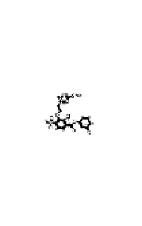 CSc1nnn(CCOc2c(S(C)(=O)=O)ccc(C(=O)OC3=CC(=O)CCC3)c2Cl)n1